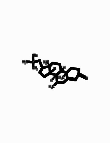 CC1CC2=CC(=O)CC[C@]2(C)[C@@H]2CC[C@]3(C)C(O[Si](C)(C)C(C)(C)C)CC[C@H]3[C@H]12